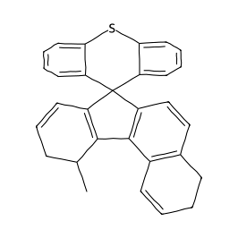 CC1CC=CC2=C1c1c(ccc3c1C=CCC3)C21c2ccccc2Sc2ccccc21